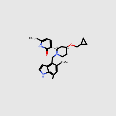 COc1cc(C)c2[nH]ccc2c1CN1CC[C@H](OCC2CC2)C[C@H]1c1ccc(C(=O)O)[nH]c1=O